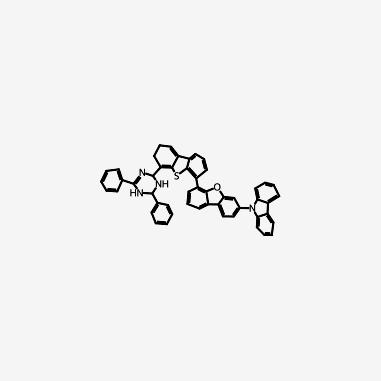 C1=c2c(sc3c(-c4cccc5c4oc4cc(-n6c7ccccc7c7ccccc76)ccc45)cccc23)=C(C2N=C(c3ccccc3)NC(c3ccccc3)N2)CC1